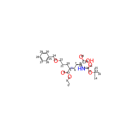 CCOC(=O)/C(=C/C[C@H](NC(=O)OC(C)(C)C)C(=O)O)CCCOCc1ccccc1